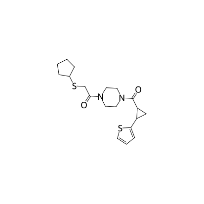 O=C(CSC1CCCC1)N1CCN(C(=O)C2CC2c2cccs2)CC1